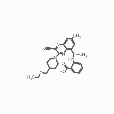 CCOCC1CCN(c2nc3c([C@@H](C)Nc4ccccc4C(=O)O)cc(C)cc3nc2C#N)CC1